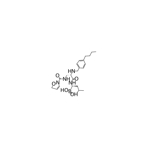 CCCCc1ccc(CN[C@@H](CNC(=O)N2C=CCO2)C(=O)N[C@@H](CC(C)C)B(O)O)cc1